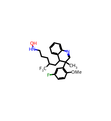 COc1ccc(F)cc1C1(C)C=Nc2ccccc2C1CC(CCCNO)C(F)(F)F